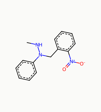 CNN(Cc1ccccc1[N+](=O)[O-])c1ccccc1